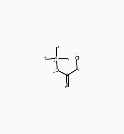 C=C(CCl)O[Si](C)(C)C